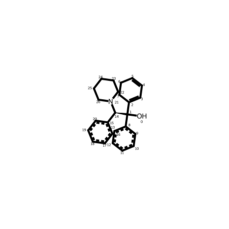 OC(C1=CC=CCC1)(c1ccccc1)[C@@H](c1ccccc1)N1CCCCC1